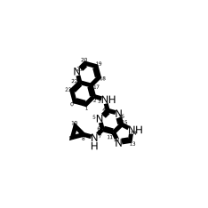 c1cc(Nc2nc(NC3CC3)c3nc[nH]c3n2)c2cccnc2c1